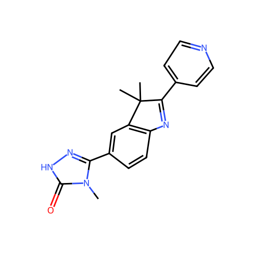 Cn1c(-c2ccc3c(c2)C(C)(C)C(c2ccncc2)=N3)n[nH]c1=O